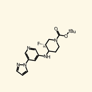 CC(C)(C)OC(=O)N1CCC(Nc2cncc(-n3cccn3)c2)[C@H](F)C1